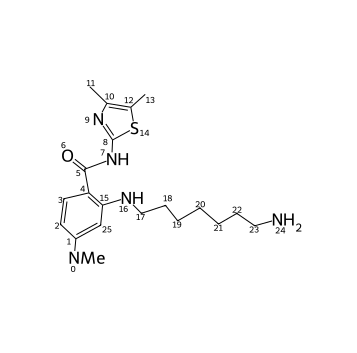 CNc1ccc(C(=O)Nc2nc(C)c(C)s2)c(NCCCCCCCN)c1